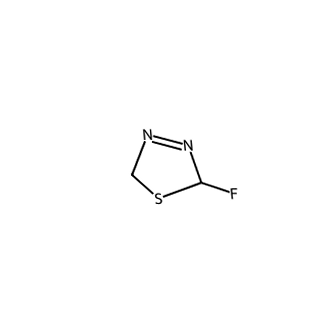 FC1N=NCS1